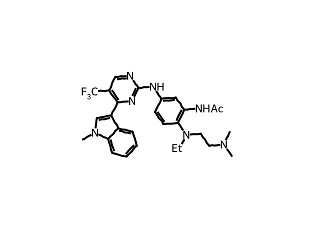 CCN(CCN(C)C)c1ccc(Nc2ncc(C(F)(F)F)c(-c3cn(C)c4ccccc34)n2)cc1NC(C)=O